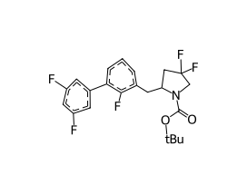 CC(C)(C)OC(=O)N1CC(F)(F)CC1Cc1cccc(-c2cc(F)cc(F)c2)c1F